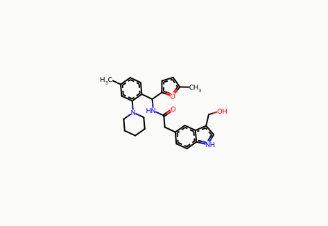 Cc1ccc(C(NC(=O)Cc2ccc3[nH]cc(CO)c3c2)c2ccc(C)o2)c(N2CCCCC2)c1